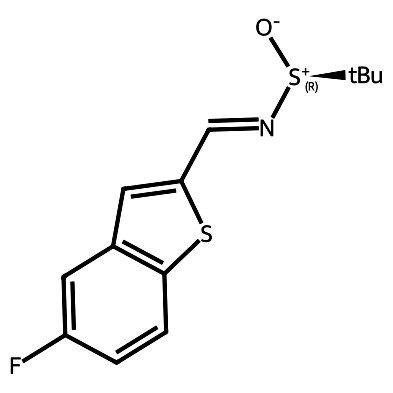 CC(C)(C)[S@+]([O-])N=Cc1cc2cc(F)ccc2s1